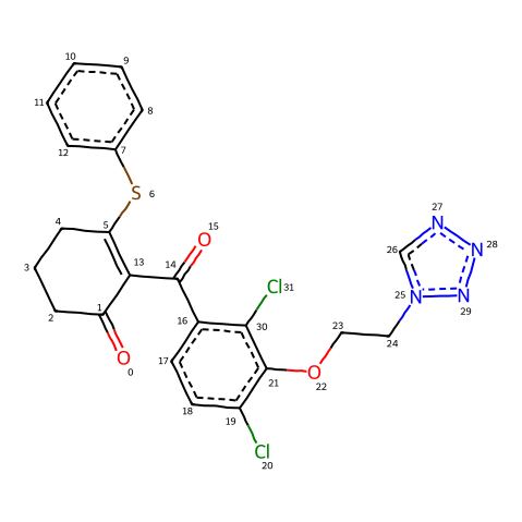 O=C1CCCC(Sc2ccccc2)=C1C(=O)c1ccc(Cl)c(OCCn2cnnn2)c1Cl